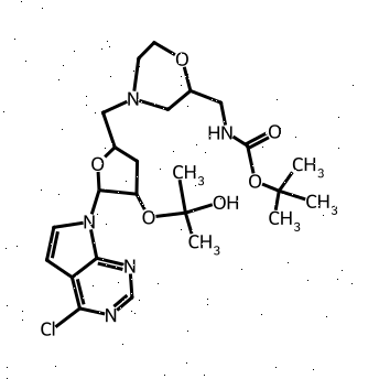 CC(C)(C)OC(=O)NCC1CN(CC2CC(OC(C)(C)O)C(n3ccc4c(Cl)ncnc43)O2)CCO1